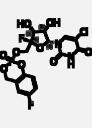 O=c1[nH]c(=O)n([C@@H]2O[C@](F)(COP3(=O)OCc4cc(F)ccc4O3)[C@@H](O)[C@H]2O)cc1Cl